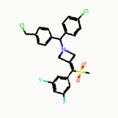 CS(=O)(=O)C(=C1CN(C(c2ccc(Cl)cc2)c2ccc(CCl)cc2)C1)c1cc(F)cc(F)c1